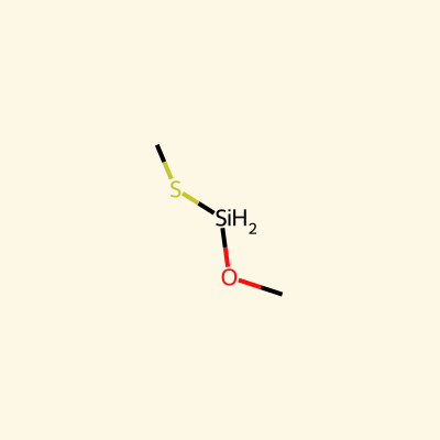 CO[SiH2]SC